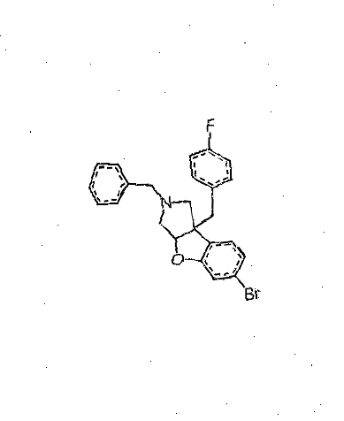 Fc1ccc(CC23CN(Cc4ccccc4)CC2Oc2cc(Br)ccc23)cc1